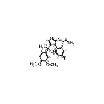 COc1ccc(C(C)(C)c2cnc(SCCN)n2-c2ccc(F)cc2)cc1OC